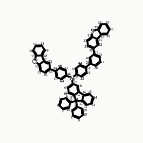 c1ccc(C2(c3ccccc3)c3ccccc3-c3cc(N(c4ccc(-c5cccc(-c6ccc7sc8ccccc8c7c6)c5)cc4)c4ccc(-c5ccc6oc7ccccc7c6c5)cc4)ccc32)cc1